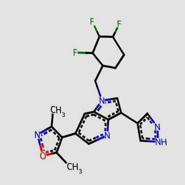 Cc1noc(C)c1-c1cnc2c(-c3cn[nH]c3)cn(CC3CCC(F)C(F)C3F)c2c1